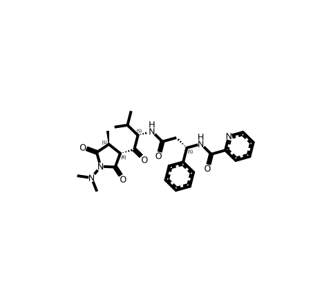 CC(C)[C@H](NC(=O)C[C@H](NC(=O)c1ccccn1)c1ccccc1)C(=O)[C@@H]1C(=O)N(N(C)C)C(=O)[C@H]1C